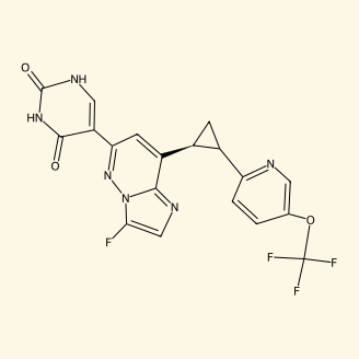 O=c1[nH]cc(-c2cc([C@H]3CC3c3ccc(OC(F)(F)F)cn3)c3ncc(F)n3n2)c(=O)[nH]1